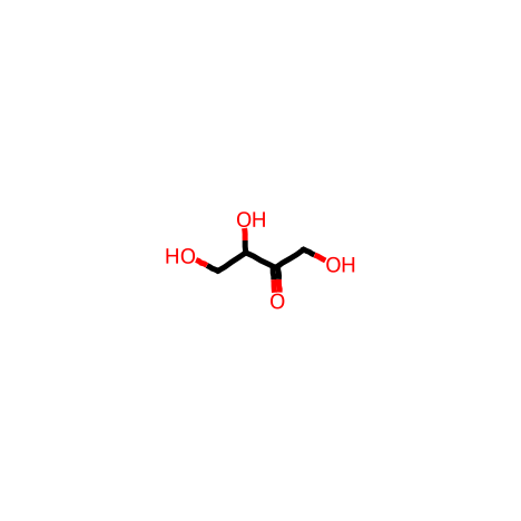 O=C(CO)C(O)CO